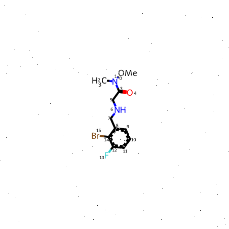 CON(C)C(=O)CNCc1cccc(F)c1Br